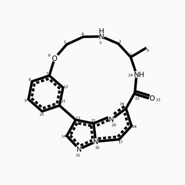 CC1CNCCOc2cccc(c2)-c2cnn3ccc(nc23)C(=O)N1